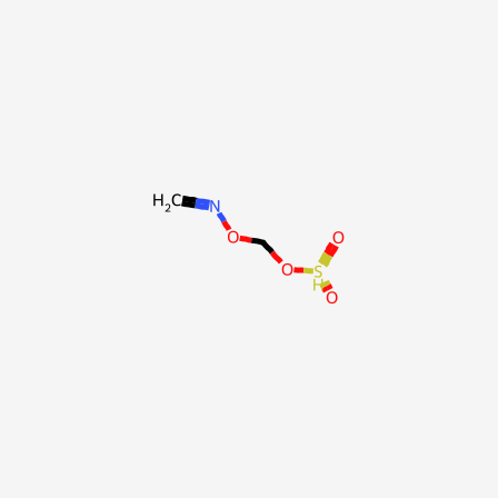 C=NOCO[SH](=O)=O